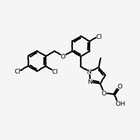 Cc1cc(OC(=O)O)nn1Cc1cc(Cl)ccc1OCc1ccc(Cl)cc1Cl